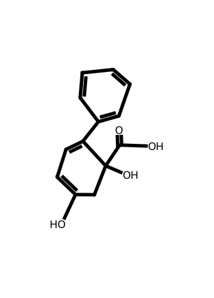 O=C(O)C1(O)CC(O)=CC=C1c1ccccc1